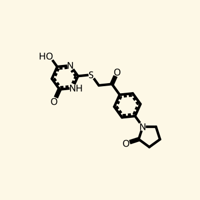 O=C(CSc1nc(O)cc(=O)[nH]1)c1ccc(N2CCCC2=O)cc1